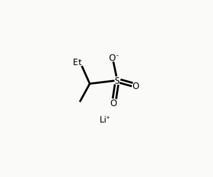 CCC(C)S(=O)(=O)[O-].[Li+]